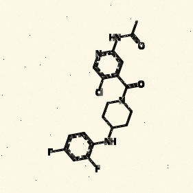 CC(=O)Nc1cc(C(=O)N2CCC(Nc3ccc(F)cc3F)CC2)c(Cl)cn1